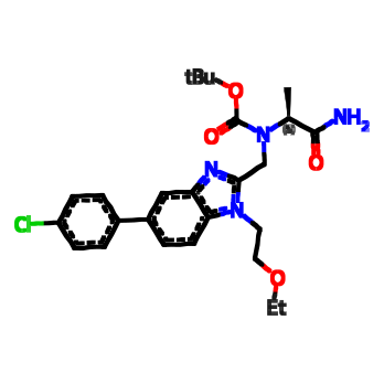 CCOCCn1c(CN(C(=O)OC(C)(C)C)[C@@H](C)C(N)=O)nc2cc(-c3ccc(Cl)cc3)ccc21